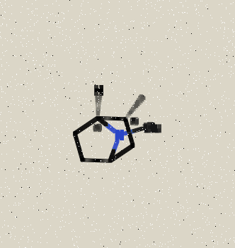 C[C@@H]1CC2CC[C@@H]1N2C(C)(C)C